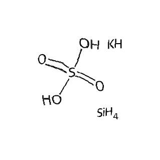 O=S(=O)(O)O.[KH].[SiH4]